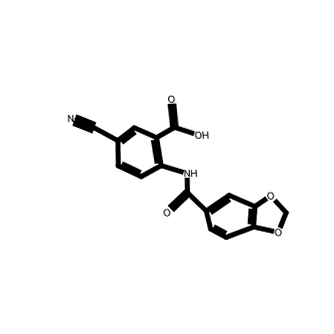 N#Cc1ccc(NC(=O)c2ccc3c(c2)OCO3)c(C(=O)O)c1